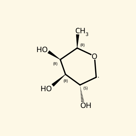 C[C@H]1O[CH][C@H](O)[C@@H](O)[C@H]1O